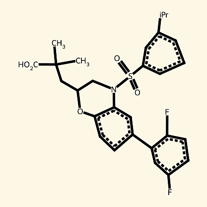 CC(C)c1cccc(S(=O)(=O)N2CC(CC(C)(C)C(=O)O)Oc3ccc(-c4cc(F)ccc4F)cc32)c1